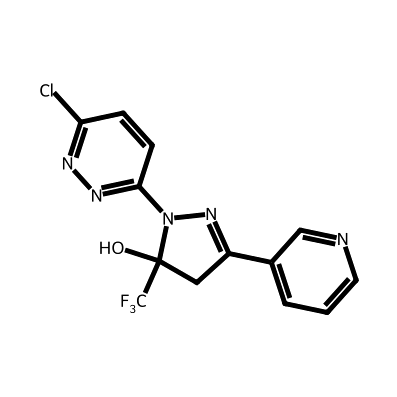 OC1(C(F)(F)F)CC(c2cccnc2)=NN1c1ccc(Cl)nn1